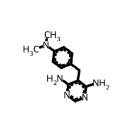 CN(C)c1ccc(Cc2c(N)ncnc2N)cc1